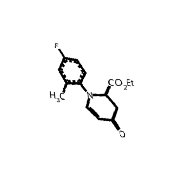 CCOC(=O)C1CC(=O)C=CN1c1ccc(F)cc1C